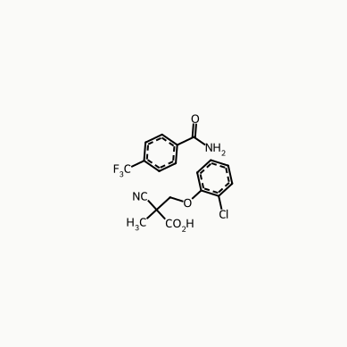 CC(C#N)(COc1ccccc1Cl)C(=O)O.NC(=O)c1ccc(C(F)(F)F)cc1